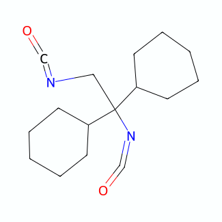 O=C=NCC(N=C=O)(C1CCCCC1)C1CCCCC1